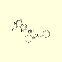 Clc1ncnc2sc(NC3CCCC[C@H]3OCc3ccccc3)nc12